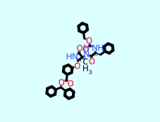 C[C@@]1(NC(=O)[C@H](Cc2ccccc2)NC(=O)OCc2ccccc2)C(=O)N[C@H]1Oc1cccc(C(=O)OC(c2ccccc2)c2ccccc2)c1